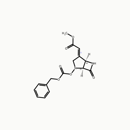 COC(=O)/C=C1\CN(OC(=O)OCc2ccccc2)[C@@H]2C(=O)N[C@H]12